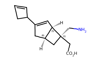 NC[C@]1(CC(=O)O)C[C@H]2CC(C3C=CC3)=C[C@H]21